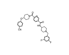 N#Cc1ccc(OC2CCN(C(=O)c3ccc(C(=O)NC4CCN(Cc5cc(F)cc(F)c5)CC4)cn3)CC2)cc1